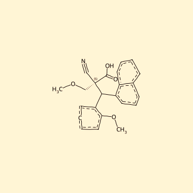 COC[C@](C#N)(C(=O)O)C(c1ccccc1OC)c1cccc2ccccc12